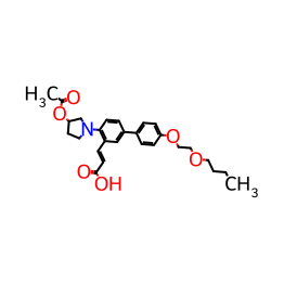 CCCCOCCOc1ccc(-c2ccc(N3CCC(OC(C)=O)C3)c(/C=C/C(=O)O)c2)cc1